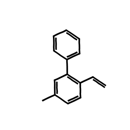 C=Cc1ccc(C)cc1-c1ccccc1